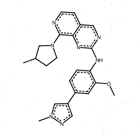 COc1cc(-c2cnn(C)c2)ccc1Nc1ncc2ccnc(N3CCC(C)C3)c2n1